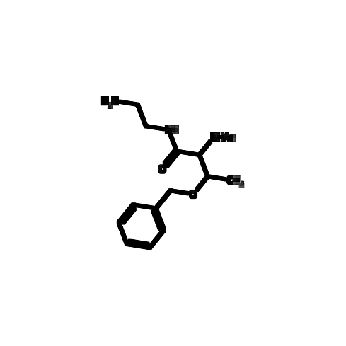 CC(=O)NC(C(=O)NCCN)C(C)OCc1ccccc1